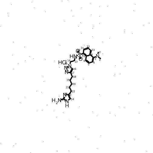 CN(C)c1cccc2c(S(=O)(=O)NCCn3cc(CCCCCc4c[nH]c(N)n4)nn3)cccc12.Cl